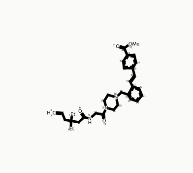 C=CCC(CC)(CC)CC(=O)NCC(=O)N1CCN(Cc2ccccc2/C=C/c2ccc(C(=O)OC)cc2)CC1